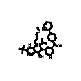 COCCCNC1NC(C(C)(C)C)N=CC1C(O)N(CC(C)C)[C@@H]1CNC[C@H](C(O)N2CCN([C@H]3CCCCN3)CC2)C1